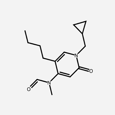 CCCCc1cn(CC2CC2)c(=O)cc1N(C)C=O